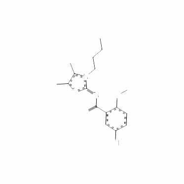 CCCCn1c(C)c(C)sc1=NC(=S)c1cc(Cl)ccc1OC